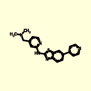 CN(C)Cc1ccnc(Nc2nc3ccc(-c4ccncc4)cc3s2)c1